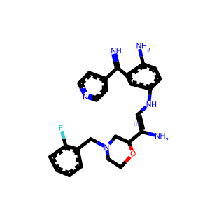 N=C(c1ccncc1)c1cc(N/C=C(\N)C2CN(Cc3ccccc3F)CCO2)ccc1N